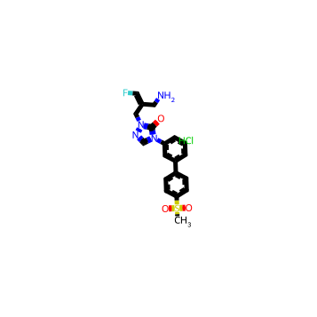 CS(=O)(=O)c1ccc(-c2cccc(-n3cnn(C/C(=C\F)CN)c3=O)c2)cc1.Cl